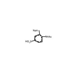 CC(=O)Nc1ccc(S(=O)(=O)O)cc1C.[NaH]